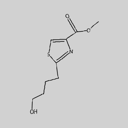 COC(=O)c1csc(CCCCO)n1